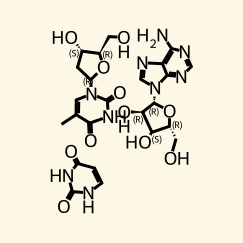 Cc1cn([C@H]2C[C@H](O)[C@@H](CO)O2)c(=O)[nH]c1=O.Nc1ncnc2c1ncn2[C@@H]1O[C@H](CO)[C@@H](O)[C@H]1O.O=c1cc[nH]c(=O)[nH]1